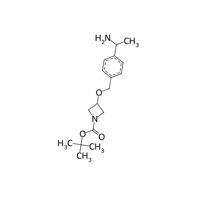 CC(N)c1ccc(COC2CN(C(=O)OC(C)(C)C)C2)cc1